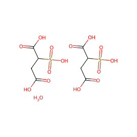 O.O=C(O)CC(C(=O)O)S(=O)(=O)O.O=C(O)CC(C(=O)O)S(=O)(=O)O